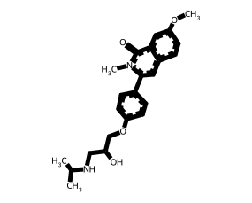 COc1ccc2cc(-c3ccc(OCC(O)CNC(C)C)cc3)n(C)c(=O)c2c1